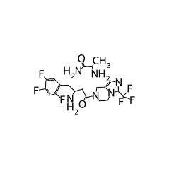 CC(N)C(N)=O.NC(CC(=O)N1CCn2c(cnc2C(F)(F)F)C1)Cc1cc(F)c(F)cc1F